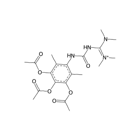 CC(=O)Oc1c(C)c(NC(=O)NC(N(C)C)=[N+](C)C)c(C)c(OC(C)=O)c1OC(C)=O